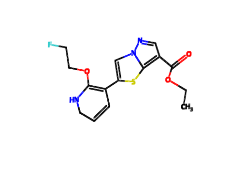 CCOC(=O)c1cnn2cc(C3=C(OCCF)NCC=C3)sc12